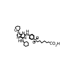 O=C(O)CCCCCCS(=O)(=O)c1ccc(Nc2nc(NC3CCCCC3)c3ncn(C4CCCCO4)c3n2)cc1